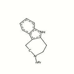 CCCN1CCc2[nH]c3ccccc3c2CC1